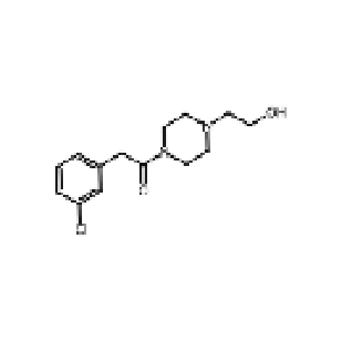 O=C(Cc1cccc(Cl)c1)N1CCN(CCO)CC1